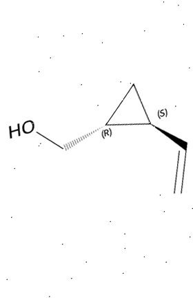 C=C[C@@H]1C[C@H]1CO